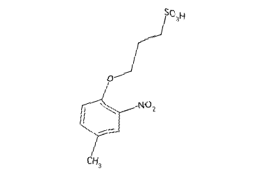 Cc1ccc(OCCCS(=O)(=O)O)c([N+](=O)[O-])c1